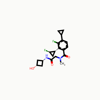 CN(CC(=O)N[C@H]1C[C@@H](O)C1)C(=O)c1ccc(C2CC2)c(F)c1[C@@H]1C[C@H]1F